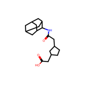 O=C(O)CC1CCC(CC(=O)NC2C3CC4CC(C3)CC2C4)C1